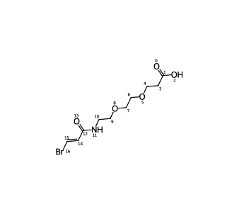 O=C(O)CCOCCOCCNC(=O)/C=C/Br